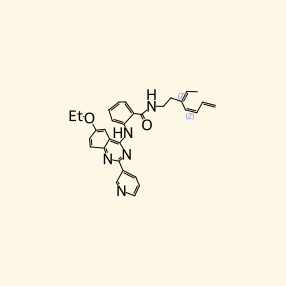 C=C/C=C\C(=C/C)CCNC(=O)c1ccccc1Nc1nc(-c2cccnc2)nc2ccc(OCC)cc12